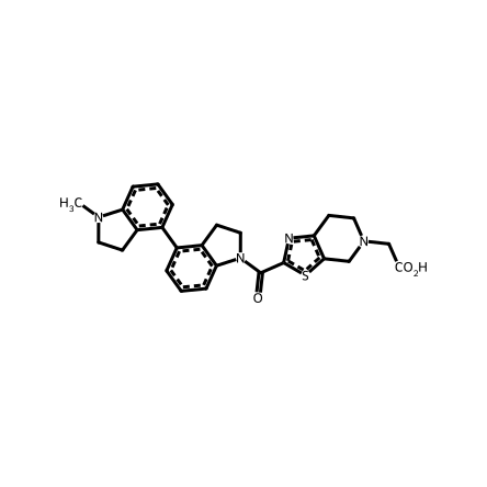 CN1CCc2c(-c3cccc4c3CCN4C(=O)c3nc4c(s3)CN(CC(=O)O)CC4)cccc21